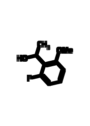 COc1cccc(F)c1C(C)O